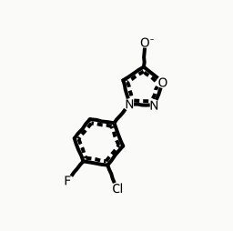 [O-]c1c[n+](-c2ccc(F)c(Cl)c2)no1